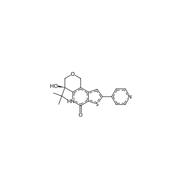 CC(C)(C)[C@]1(O)COCc2c1[nH]c(=O)c1sc(-c3ccncc3)cc21